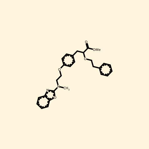 COC(=O)C(Cc1ccc(OCCN(C)c2nc3ccccc3o2)cc1)OCCc1ccccc1